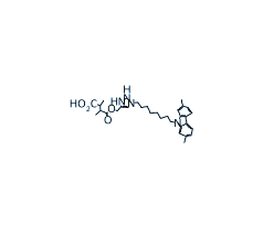 Cc1ccc2c3ccc(C)cc3n(CCCCCCCCN3C=C(COC(=O)C(C)C(C)C(=O)O)NN3)c2c1